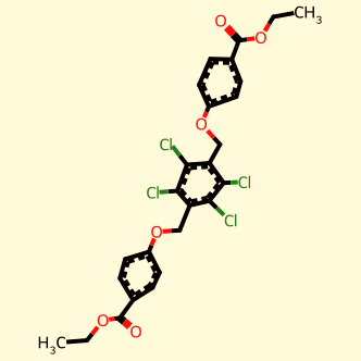 CCOC(=O)c1ccc(OCc2c(Cl)c(Cl)c(COc3ccc(C(=O)OCC)cc3)c(Cl)c2Cl)cc1